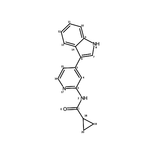 O=C(Nc1cc(-c2c[nH]c3ccccc23)ccn1)C1CC1